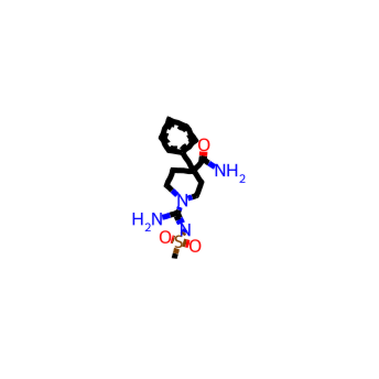 CS(=O)(=O)N=C(N)N1CCC(C(N)=O)(c2ccccc2)CC1